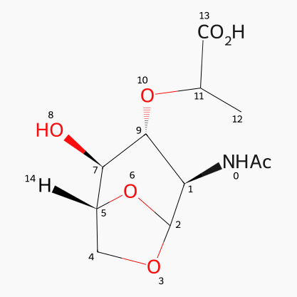 CC(=O)N[C@H]1C2OC[C@@H](O2)[C@@H](O)[C@@H]1OC(C)C(=O)O